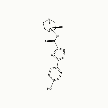 O=C(N[C@H]1CN2CCC1CC2)c1ccc(-c2ccc(O)cc2)o1